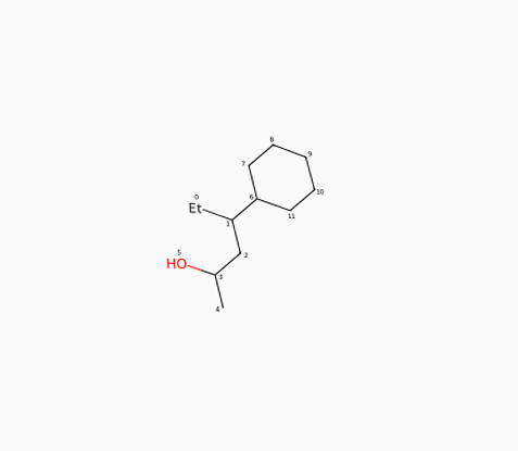 CCC(CC(C)O)C1CCCCC1